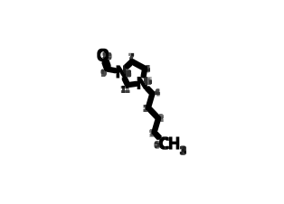 CCCCCN1CCN(C=O)C1